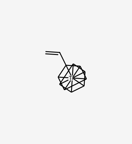 C=C[C]12[CH]3[CH]4[CH]5[CH]1[Ti]45321678[CH]2[CH]1[CH]6[CH]7[CH]28